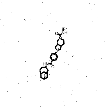 CC(C)NC(=O)N1CCC2CN(c3ccc(C(=O)NC4CCC5CC6CC(C5)C4C6)cc3)CC2C1